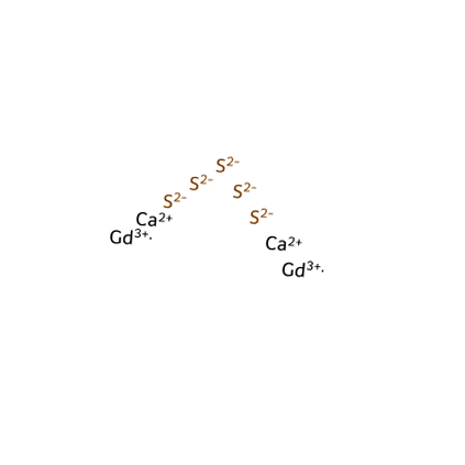 [Ca+2].[Ca+2].[Gd+3].[Gd+3].[S-2].[S-2].[S-2].[S-2].[S-2]